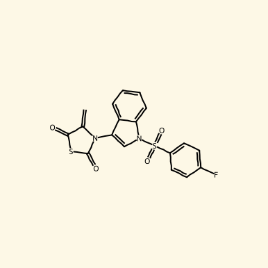 C=C1C(=O)SC(=O)N1c1cn(S(=O)(=O)c2ccc(F)cc2)c2ccccc12